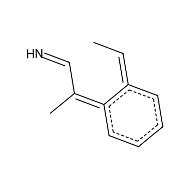 C/C=c1/cccc/c1=C(\C)C=N